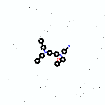 N#Cc1ccc(N(c2ccc(-c3ccc(N(c4ccc(-c5ccccc5)cc4)c4ccc(-c5ccccc5)cc4)cc3)cc2)c2cccc3c2oc2ccccc23)cc1